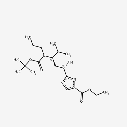 CCCN(C(=O)OC(C)(C)C)[C@H](C[C@H](O)c1nc(C(=O)OCC)cs1)C(C)C